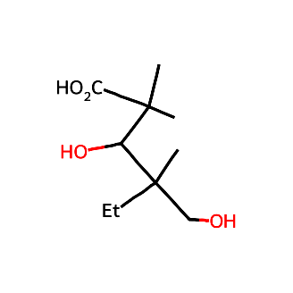 CCC(C)(CO)C(O)C(C)(C)C(=O)O